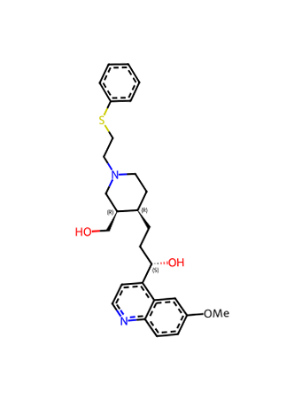 COc1ccc2nccc([C@@H](O)CC[C@@H]3CCN(CCSc4ccccc4)C[C@@H]3CO)c2c1